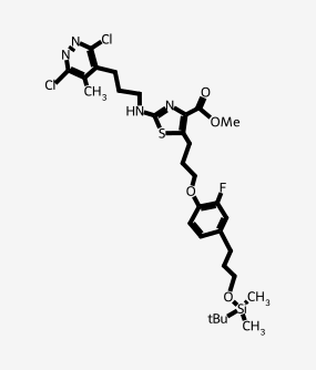 COC(=O)c1nc(NCCCc2c(Cl)nnc(Cl)c2C)sc1CCCOc1ccc(CCCO[Si](C)(C)C(C)(C)C)cc1F